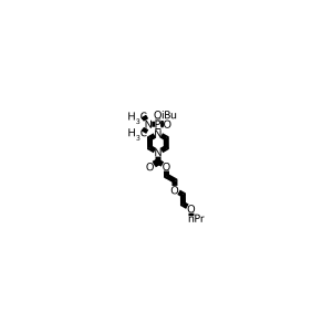 CCCOCCOCCOC(=O)N1CCN(P(=O)(OCC(C)C)N(C)C)CC1